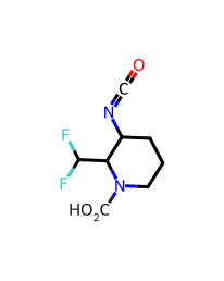 O=C=NC1CCCN(C(=O)O)C1C(F)F